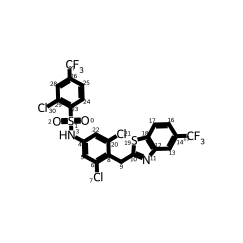 O=S(=O)(Nc1cc(Cl)c(Cc2nc3cc(C(F)(F)F)ccc3s2)c(Cl)c1)c1ccc(C(F)(F)F)cc1Cl